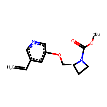 C=Cc1cncc(OC[C@@H]2CCN2C(=O)OC(C)(C)C)c1